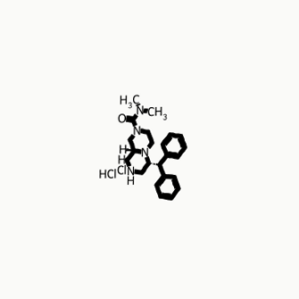 CN(C)C(=O)N1CCN2[C@H](CNC[C@H]2C(c2ccccc2)c2ccccc2)C1.Cl.Cl